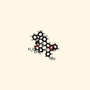 CC(C)(C)c1ccc(N2c3ccc4c(c3B3c5c(cc6c(oc7ccccc76)c52)-c2cccc5c2N3c2ccccc2C5(c2ccccc2)c2ccccc2)-c2ccccc2C4(C)C)c(-c2ccccc2)c1